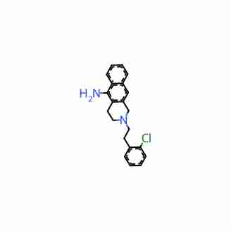 Nc1c2c(cc3ccccc13)CN(CCc1ccccc1Cl)CC2